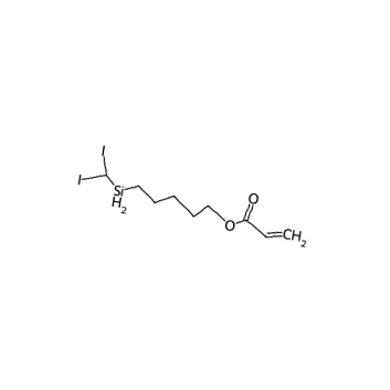 C=CC(=O)OCCCCC[SiH2]C(I)I